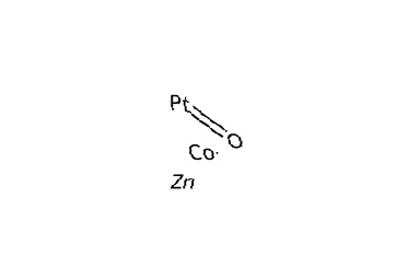 [Co].[O]=[Pt].[Zn]